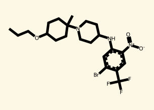 CCCOC1CCC(C)(N2CCC(Nc3cc(Br)c(C(F)(F)F)cc3[N+](=O)[O-])CC2)CC1